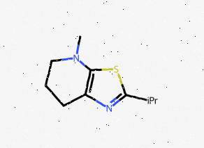 CC(C)c1nc2c(s1)N(C)CCC2